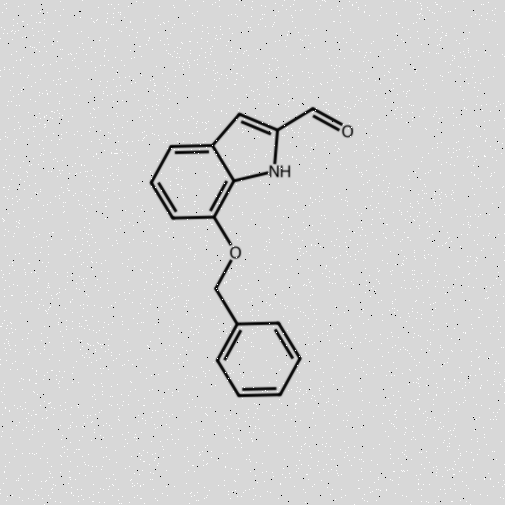 O=Cc1cc2cccc(OCc3ccccc3)c2[nH]1